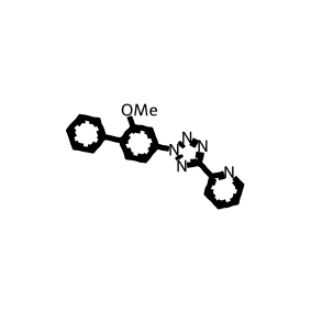 COc1cc(-n2nnc(-c3ccccn3)n2)ccc1-c1ccccc1